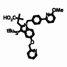 COc1cccc(-c2ccc(Cn3c(CC(C)(C)C(=O)O)c(SC(C)(C)C)c4cc(OCc5ccccn5)ccc43)cc2)n1